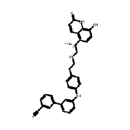 N#Cc1cccc(-c2cccc(Nc3ccc(CCNC[C@H](O)c4ccc(O)c5[nH]c(=O)ccc45)cc3)c2)c1